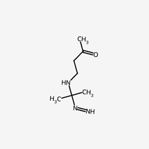 CC(=O)CCNC(C)(C)N=N